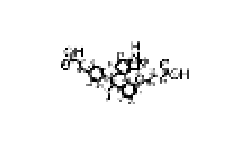 CCC(=C(c1ccc(C=CC(=O)O)cc1)c1ccc2[nH]ncc2c1)c1cccc(OCCCC(=O)O)c1